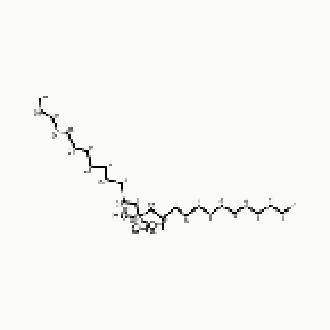 CCCCCCCCCCCCCP(O)(O)(O)CCCCCCCCCCCCC